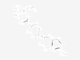 CC(C)(C)OC(=O)N1CCC(N2CCc3cc(Br)ccc3C2)CC1